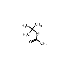 CC(=O)NC(C)(C)C